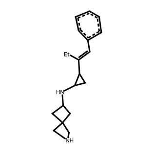 CC/C(=C\c1ccccc1)C1CC1NC1CC2(CNC2)C1